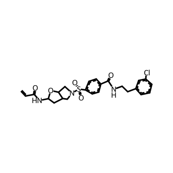 C=CC(=O)NC1CC2CN(S(=O)(=O)c3ccc(C(=O)NCCc4cccc(Cl)c4)cc3)CC2O1